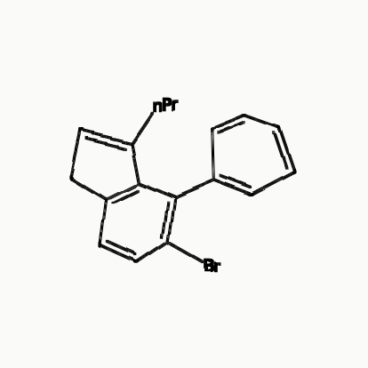 CCCC1=CCc2ccc(Br)c(-c3ccccc3)c21